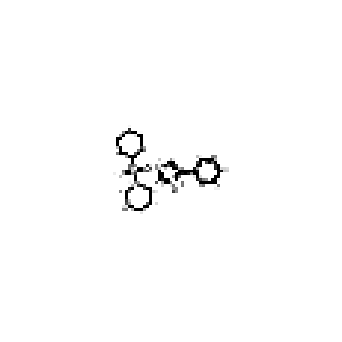 O=S(=O)(C1CCCCC1)N1CCCC[C@H]1c1ncc(-c2ccccc2)[nH]1